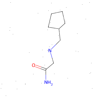 NC(=O)C[N]CC1CCCC1